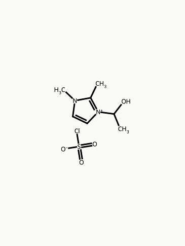 Cc1n(C)cc[n+]1C(C)O.O=S(=O)([O-])Cl